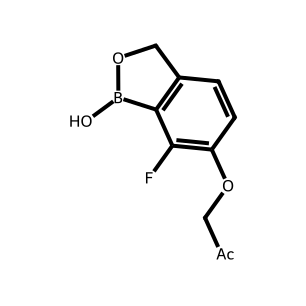 CC(=O)COc1ccc2c(c1F)B(O)OC2